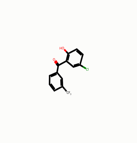 O=C(c1cccc(C(F)(F)F)c1)c1cc(Cl)ccc1O